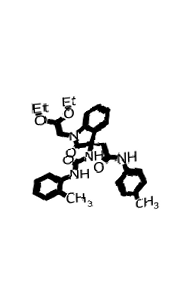 CCOC(CN1C(=O)[C@@](CC(=O)Nc2ccc(C)cc2)(NC(=O)Nc2ccccc2C)c2ccccc21)OCC